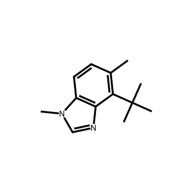 Cc1ccc2c(ncn2C)c1C(C)(C)C